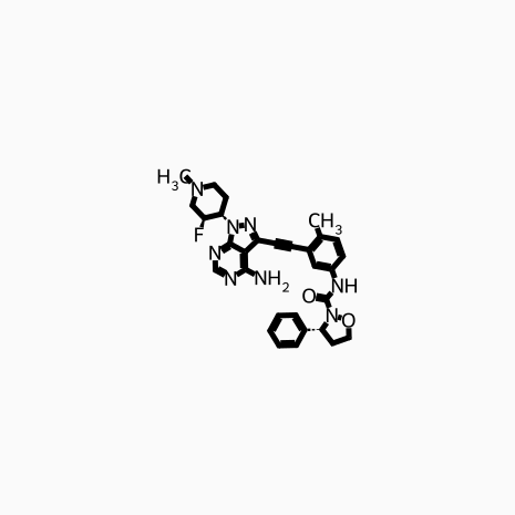 Cc1ccc(NC(=O)N2OCC[C@@H]2c2ccccc2)cc1C#Cc1nn([C@H]2CCN(C)C[C@@H]2F)c2ncnc(N)c12